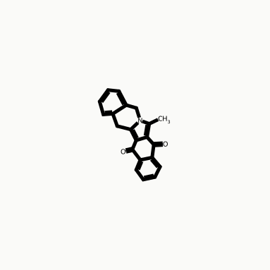 Cc1c2c(c3n1Cc1ccccc1C3)C(=O)c1ccccc1C2=O